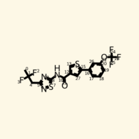 CC(F)(F)Cc1nsc(NC(=O)c2csc(-c3cccc(OC(F)(F)F)c3)c2)n1